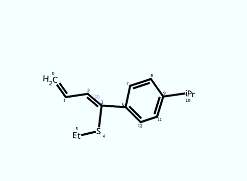 C=C/C=C(\SCC)c1ccc(C(C)C)cc1